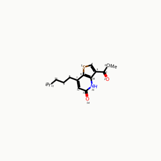 COC(=O)c1csc2c(CCCC(C)C)cc(=O)[nH]c12